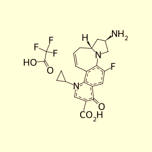 N[C@@H]1C[C@H]2CC=Cc3c(c(F)cc4c(=O)c(C(=O)O)cn(C5CC5)c34)N2C1.O=C(O)C(F)(F)F